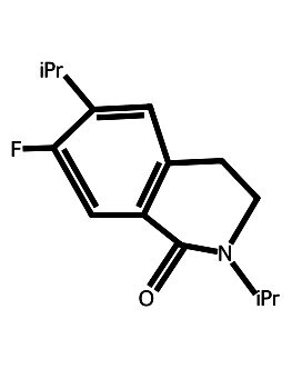 CC(C)c1cc2c(cc1F)C(=O)N(C(C)C)CC2